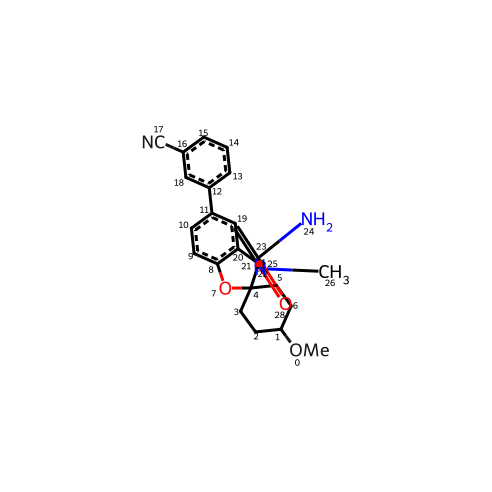 COC1CCC2(CC1)Oc1ccc(-c3cccc(C#N)c3)cc1C21N=C(N)N(C)C1=O